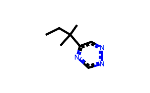 CCC(C)(C)c1cnncn1